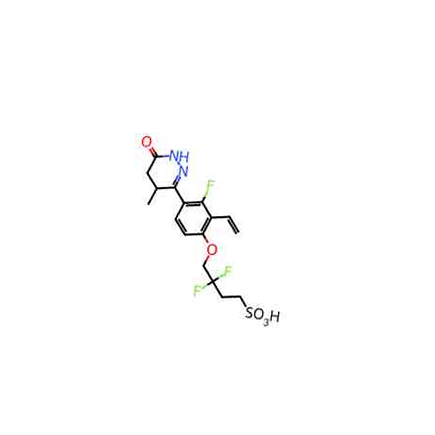 C=Cc1c(OCC(F)(F)CCS(=O)(=O)O)ccc(C2=NNC(=O)CC2C)c1F